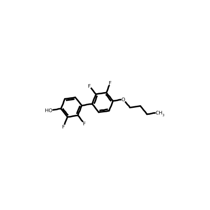 CCCCOc1ccc(-c2ccc(O)c(F)c2F)c(F)c1F